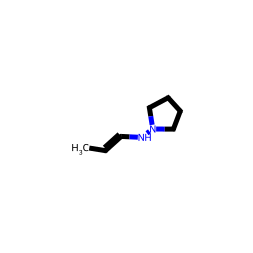 CC=CNN1CCCC1